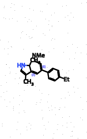 CCc1ccc(C(/C=C2/C(C)=CNC2C)=C/CNC)cc1